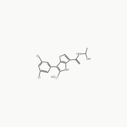 C=C(NC(C)O)c1csc2c(-c3cc(Cl)cc(Cl)c3)c(C(=O)O)[nH]c12